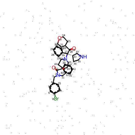 O=C1N(Cc2ccc(Br)cc2)CCC12CCN(C(C(=O)C1CCOCC1)(c1ccccc1)[C@@H]1CNC[C@@H]1c1ccccc1)CC2